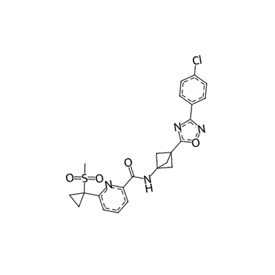 CS(=O)(=O)C1(c2cccc(C(=O)NC34CC(c5nc(-c6ccc(Cl)cc6)no5)(C3)C4)n2)CC1